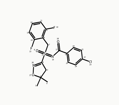 CC1(C)CC(S(=O)(Cc2c(F)cccc2F)=NC(=O)c2ccc(Cl)cc2)=NO1